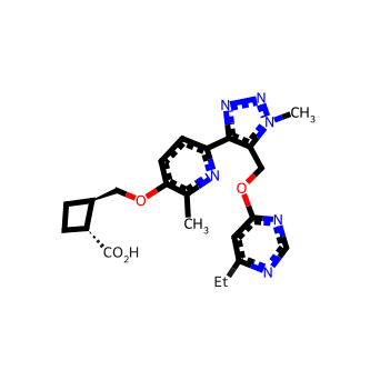 CCc1cc(OCc2c(-c3ccc(OC[C@@H]4CC[C@H]4C(=O)O)c(C)n3)nnn2C)ncn1